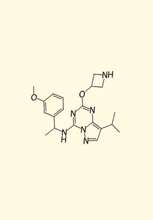 COc1cccc(C(C)Nc2nc(OC3CNC3)nc3c(C(C)C)cnn23)c1